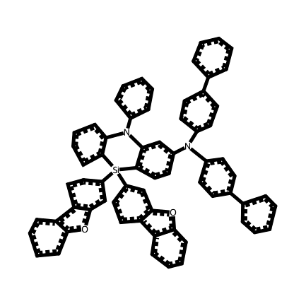 c1ccc(-c2ccc(N(c3ccc(-c4ccccc4)cc3)c3ccc4c(c3)N(c3ccccc3)c3ccccc3[Si]4(c3ccc4c(c3)oc3ccccc34)c3ccc4c(c3)oc3ccccc34)cc2)cc1